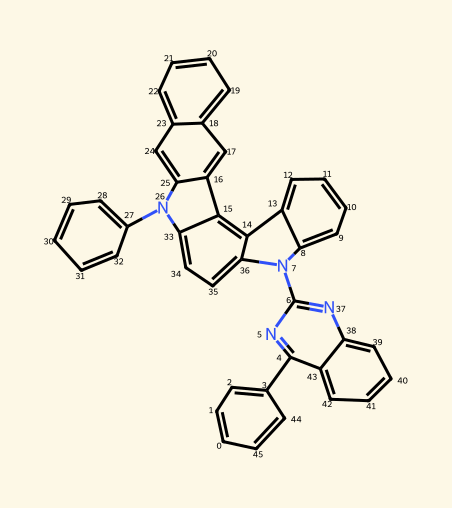 c1ccc(-c2nc(-n3c4ccccc4c4c5c6cc7ccccc7cc6n(-c6ccccc6)c5ccc43)nc3ccccc23)cc1